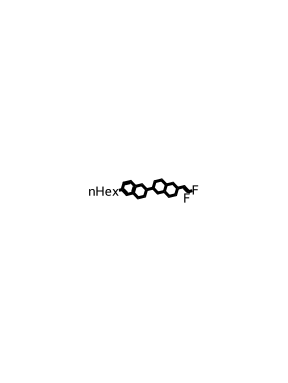 CCCCCCc1ccc2c(c1)CCC(C1CCC3CC(C=C(F)F)CCC3C1)C2